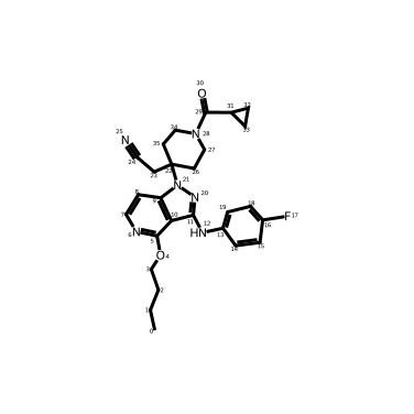 CCCCOc1nccc2c1c(Nc1ccc(F)cc1)nn2C1(CC#N)CCN(C(=O)C2CC2)CC1